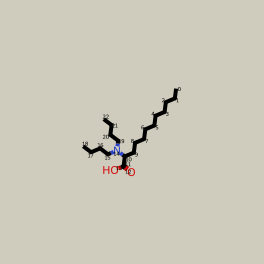 CCCCCCCCCCC(C(=O)O)N(CCCC)CCCC